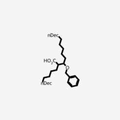 CCCCCCCCCCCCCCCC(OCc1ccccc1)C(CCCCCCCCCCCCCC)C(=O)O